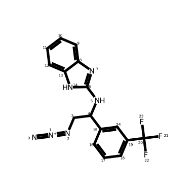 [N-]=[N+]=NCC(Nc1nc2ccccc2[nH]1)c1cccc(C(F)(F)F)c1